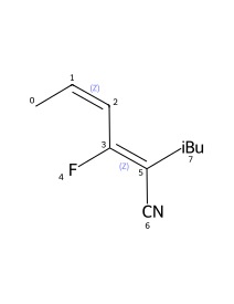 C/C=C\C(F)=C(\C#N)C(C)CC